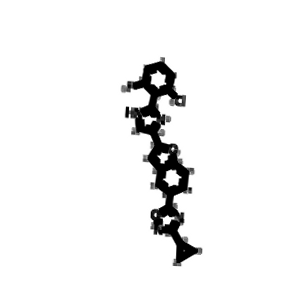 Fc1cccc(Cl)c1-c1nc(-c2cc3cc(-c4nc(C5CC5)no4)ccc3o2)c[nH]1